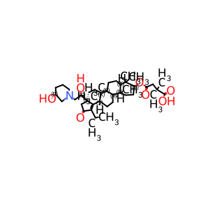 CC(C)C1=C2[C@H]3CC[C@@H]4[C@@]5(C)CC[C@H](OC(=O)CC(C)(C)C(=O)O)C(C)(C)[C@@H]5CC[C@@]4(C)[C@]3(C)CC[C@@]2([C@H](O)CN2CCC[C@@H](O)C2)CC1=O